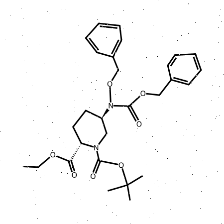 CCOC(=O)[C@@H]1CC[C@@H](N(OCc2ccccc2)C(=O)OCc2ccccc2)CN1C(=O)OC(C)(C)C